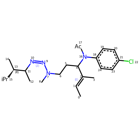 C/C=C(\C)C(CCN(C)/N=N\C(C)[C@H](C)C(C)C)N(C(C)=O)c1ccc(Cl)cc1